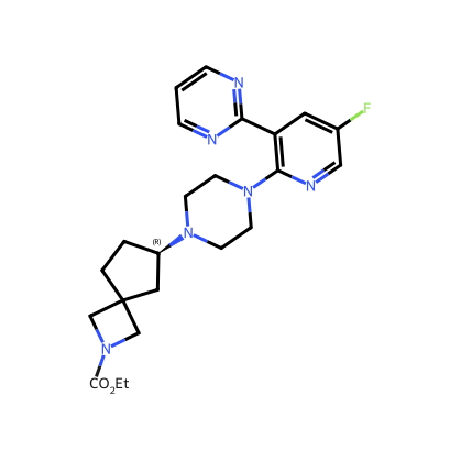 CCOC(=O)N1CC2(CC[C@@H](N3CCN(c4ncc(F)cc4-c4ncccn4)CC3)C2)C1